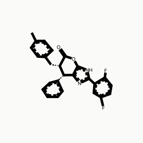 Cc1ccc(C[C@@H]2C(=O)Oc3[nH]c(-c4cc(F)ccc4F)nc3[C@@H]2c2ccccc2)cc1